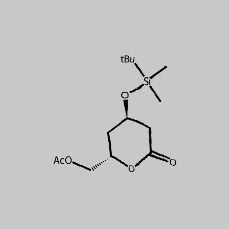 CC(=O)OC[C@@H]1C[C@@H](O[Si](C)(C)C(C)(C)C)CC(=O)O1